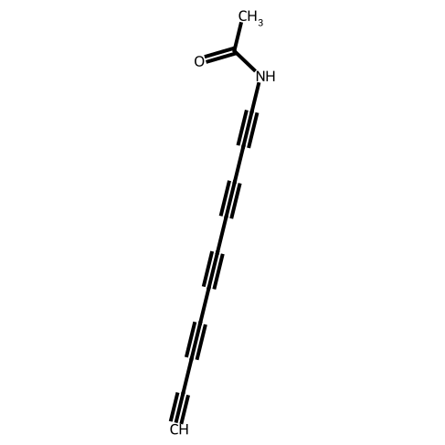 C#CC#CC#CC#CC#CNC(C)=O